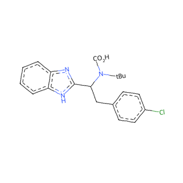 CC(C)(C)N(C(=O)O)C(Cc1ccc(Cl)cc1)c1nc2ccccc2[nH]1